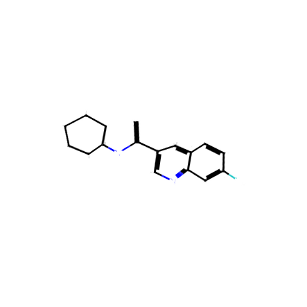 C=C(NC1CCCCC1)c1cnc2cc(F)ccc2c1